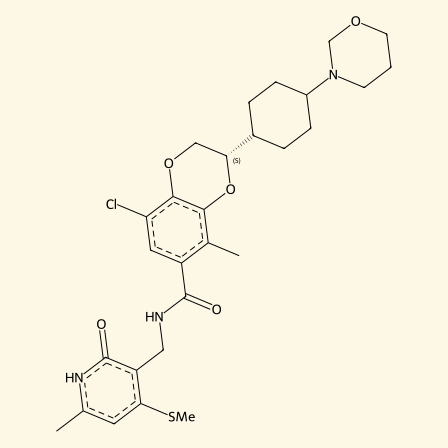 CSc1cc(C)[nH]c(=O)c1CNC(=O)c1cc(Cl)c2c(c1C)O[C@@H](C1CCC(N3CCCOC3)CC1)CO2